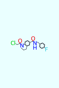 O=C(NCc1ccc(F)cc1)c1ccc2c(c1)CCCN2C(=O)CCl